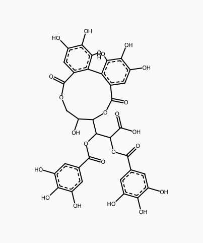 O=C(OC(C(=O)O)C(OC(=O)c1cc(O)c(O)c(O)c1)C1OC(=O)c2cc(O)c(O)c(O)c2-c2c(cc(O)c(O)c2O)C(=O)OCC1O)c1cc(O)c(O)c(O)c1